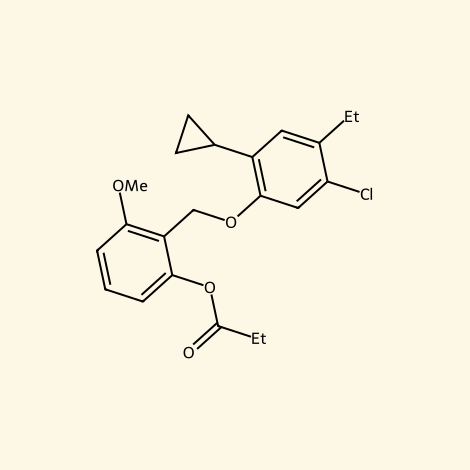 CCC(=O)Oc1cccc(OC)c1COc1cc(Cl)c(CC)cc1C1CC1